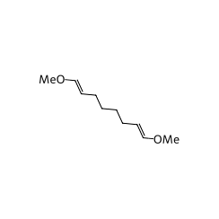 COC=CCCCCC=COC